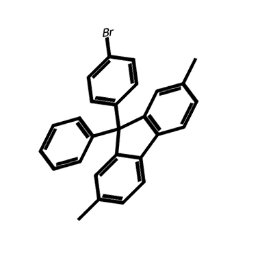 Cc1ccc2c(c1)C(c1ccccc1)(c1ccc(Br)cc1)c1cc(C)ccc1-2